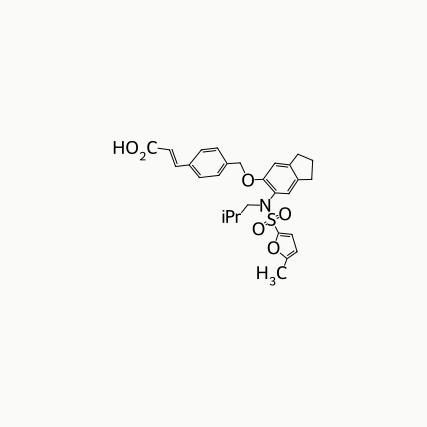 Cc1ccc(S(=O)(=O)N(CC(C)C)c2cc3c(cc2OCc2ccc(/C=C/C(=O)O)cc2)CCC3)o1